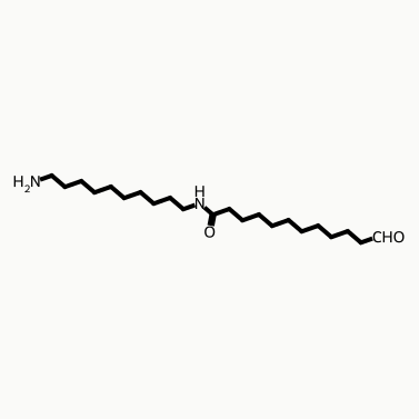 NCCCCCCCCCCNC(=O)CCCCCCCCCCC=O